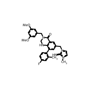 COc1cc(CN2CNc3c(cc(Cn4ccn(C)c4=N)cc3-c3ccc(F)cc3C)C2=O)cc(OC)c1